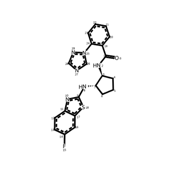 O=C(N[C@H]1CCC[C@@H]1Nc1nc2ccc(F)cc2s1)c1ccccc1-n1cncn1